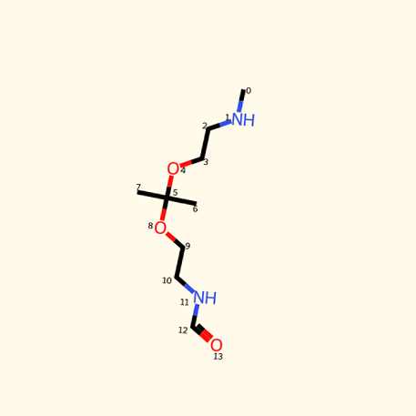 CNCCOC(C)(C)OCCNC=O